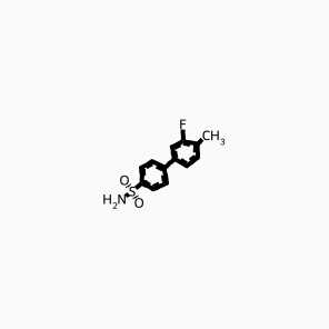 Cc1ccc(-c2ccc(S(N)(=O)=O)cc2)cc1F